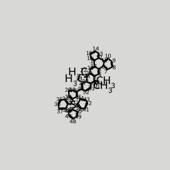 CC1(C)c2cc3c4ccccc4c4ccccc4c3cc2C(C)(C)C2C=C(c3cccc([Si](c4ccccc4)(c4ccccc4)c4ccccc4)c3)C=CC21